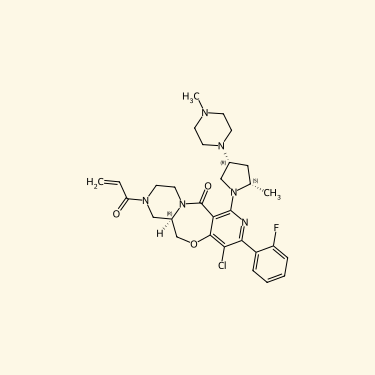 C=CC(=O)N1CCN2C(=O)c3c(N4C[C@H](N5CCN(C)CC5)C[C@@H]4C)nc(-c4ccccc4F)c(Cl)c3OC[C@H]2C1